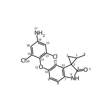 CC1CC12C(=O)Nc1ccc(Oc3c(Cl)cc(N)cc3Cl)cc12